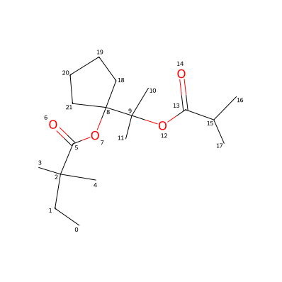 CCC(C)(C)C(=O)OC1(C(C)(C)OC(=O)C(C)C)CCCC1